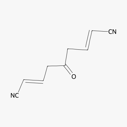 N#CC=CCC(=O)CC=CC#N